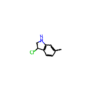 Cc1ccc2c(c1)NCC2Cl